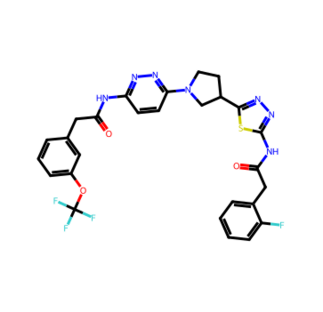 O=C(Cc1cccc(OC(F)(F)F)c1)Nc1ccc(N2CCC(c3nnc(NC(=O)Cc4ccccc4F)s3)C2)nn1